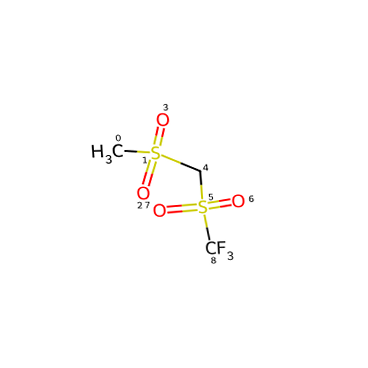 CS(=O)(=O)CS(=O)(=O)C(F)(F)F